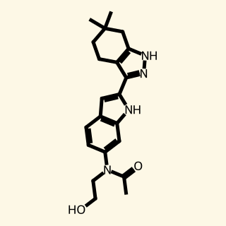 CC(=O)N(CCO)c1ccc2cc(-c3n[nH]c4c3CCC(C)(C)C4)[nH]c2c1